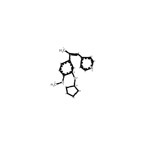 COc1ccc(/C(C)=C\c2ccncc2)cc1OC1CCCC1